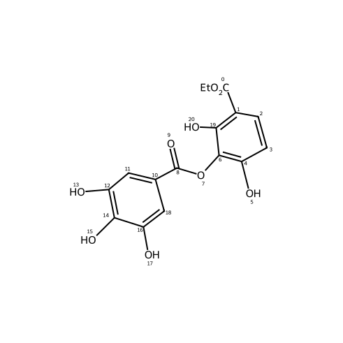 CCOC(=O)c1ccc(O)c(OC(=O)c2cc(O)c(O)c(O)c2)c1O